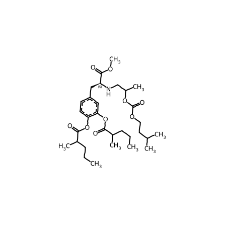 CCCC(C)C(=O)Oc1ccc(C[C@H](NCC(C)OC(=O)OCCC(C)C)C(=O)OC)cc1OC(=O)C(C)CCC